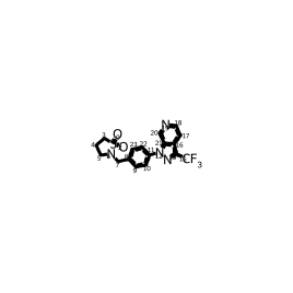 O=S1(=O)CCCN1Cc1ccc(-n2nc(C(F)(F)F)c3ccncc32)cc1